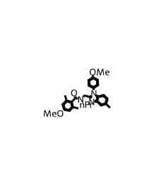 CCCN(Cc1nc2cc(C)ccc2n1-c1ccc(OC)cc1)C(=O)c1c(C)cc(OC)cc1C